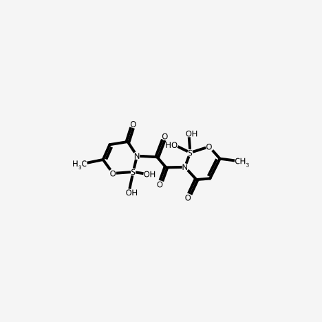 CC1=CC(=O)N(C(=O)C(=O)N2C(=O)C=C(C)OS2(O)O)S(O)(O)O1